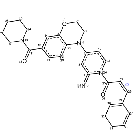 N=c1cc(N2CCOc3cc(C(=O)N4CCCCC4)cnc32)ccn1C(=O)/C=C\C1=CCCC=C1